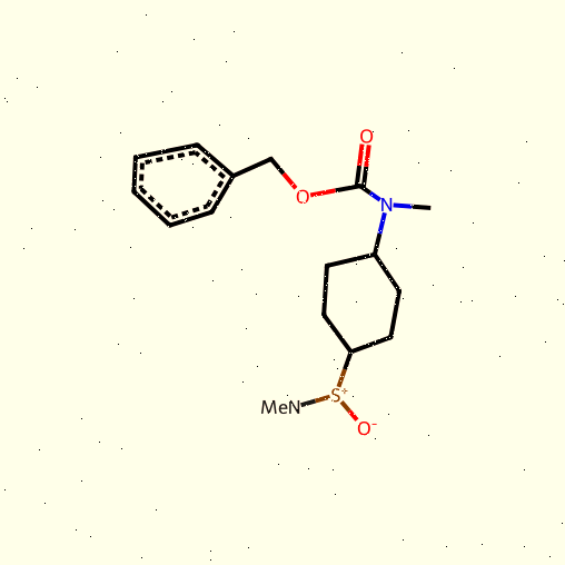 CN[S+]([O-])C1CCC(N(C)C(=O)OCc2ccccc2)CC1